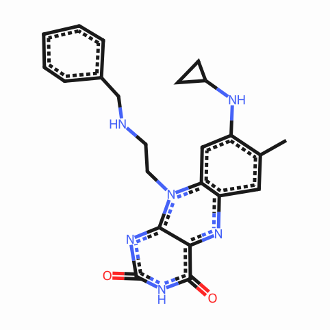 Cc1cc2nc3c(=O)[nH]c(=O)nc-3n(CCNCc3ccccc3)c2cc1NC1CC1